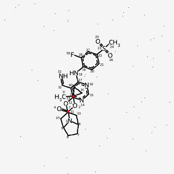 CC1(OC(=O)N2C3CCC2CC(Oc2ncnc(Nc4ccc(S(C)(=O)=O)cc4F)c2C=N)C3)CC1